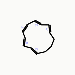 [C]1=C/C=C\C=C\C=C\CCC/C=C/1